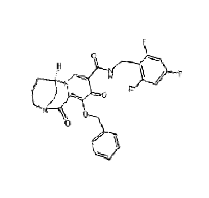 O=C(NCc1c(F)cc(F)cc1F)c1cn2c(c(OCc3ccccc3)c1=O)C(=O)N1CCC[C@@H]2CC1